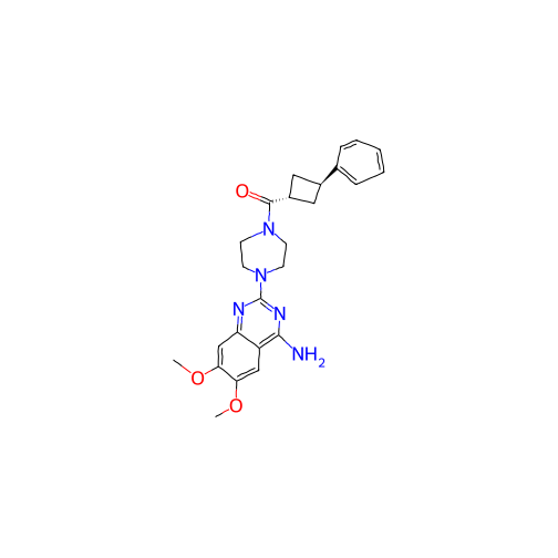 COc1cc2nc(N3CCN(C(=O)[C@H]4C[C@H](c5ccccc5)C4)CC3)nc(N)c2cc1OC